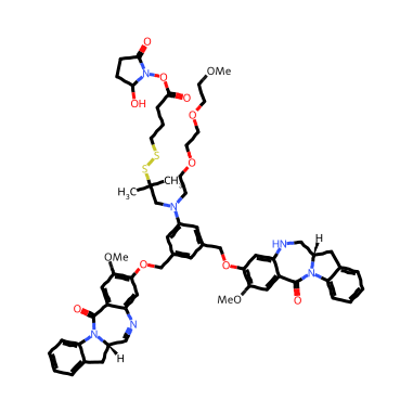 COCCOCCOCCN(CC(C)(C)SSCCCC(=O)ON1C(=O)CCC1O)c1cc(COc2cc3c(cc2OC)C(=O)N2c4ccccc4C[C@H]2C=N3)cc(COc2cc3c(cc2OC)C(=O)N2c4ccccc4C[C@H]2CN3)c1